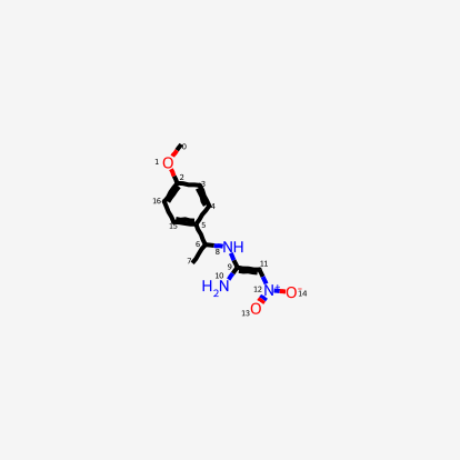 COc1ccc(C(C)N/C(N)=C/[N+](=O)[O-])cc1